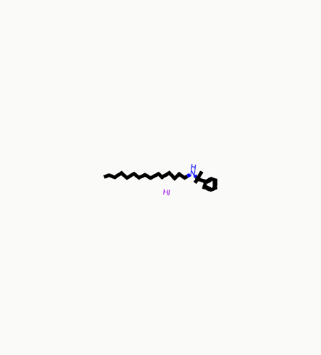 CCCCCCCCCCCCCCCNC(C)(C)c1ccccc1.I